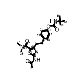 CC(=O)Nc1nc(CCc2ccc(OC(=O)NC(C)(C)C)cc2)c(C(=O)N(C)C)s1